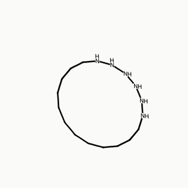 C1CCCCCCNNNNNNCCCCC1